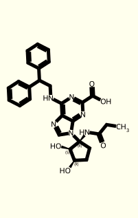 CCC(=O)N[C@@]1(n2cnc3c(NCC(c4ccccc4)c4ccccc4)nc(C(=O)O)nc32)CC[C@@H](O)[C@H]1O